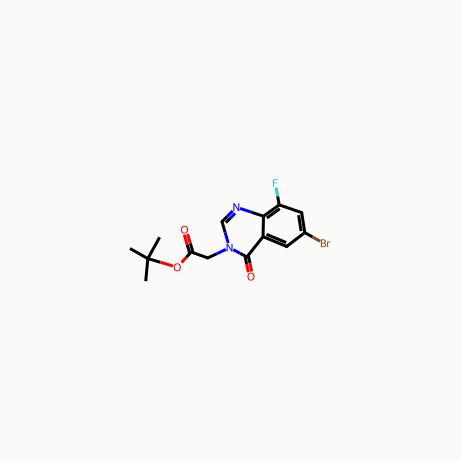 CC(C)(C)OC(=O)Cn1cnc2c(F)cc(Br)cc2c1=O